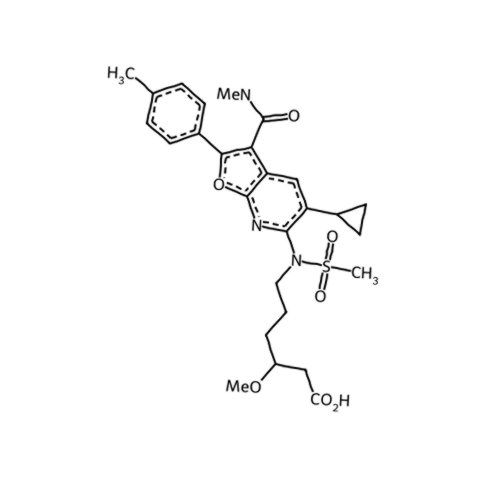 CNC(=O)c1c(-c2ccc(C)cc2)oc2nc(N(CCCC(CC(=O)O)OC)S(C)(=O)=O)c(C3CC3)cc12